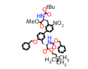 COC(=O)[C@H](Cc1cc(-c2ccc(OCc3ccccc3)c(C[C@H](NC(=O)OCc3ccccc3)C(=O)OCC[Si](C)(C)C)c2)ccc1[N+](=O)[O-])NC(=O)OC(C)(C)C